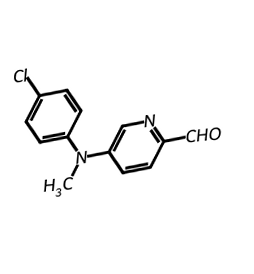 CN(c1ccc(Cl)cc1)c1ccc(C=O)nc1